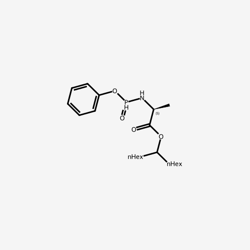 CCCCCCC(CCCCCC)OC(=O)[C@H](C)N[PH](=O)Oc1ccccc1